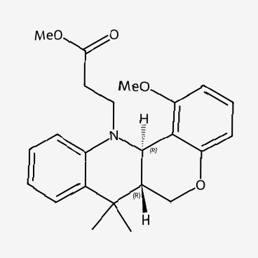 COC(=O)CCN1c2ccccc2C(C)(C)[C@H]2COc3cccc(OC)c3[C@@H]21